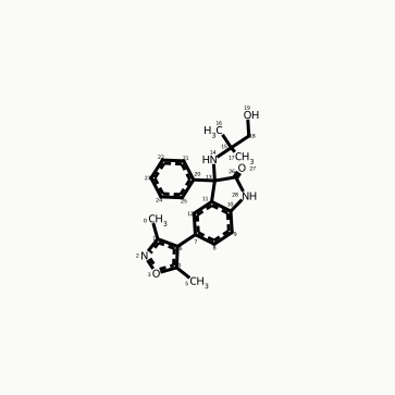 Cc1noc(C)c1-c1ccc2c(c1)C(NC(C)(C)CO)(c1ccccc1)C(=O)N2